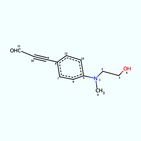 CN(CCO)c1ccc(C#CC=O)cc1